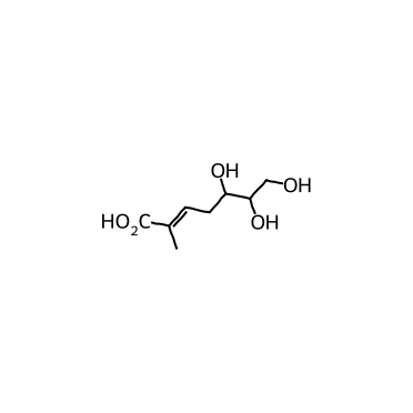 CC(=CCC(O)C(O)CO)C(=O)O